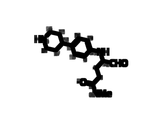 CNC(=O)CCC(C=O)Nc1ccc(C2CCNCC2)cc1